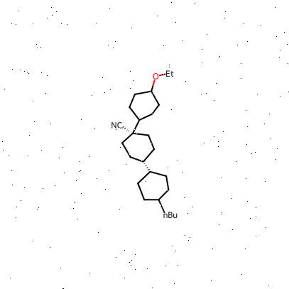 CCCCC1CCC([C@H]2CC[C@](C#N)(C3CCC(OCC)CC3)CC2)CC1